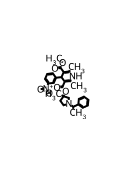 COC(=O)C1=C(C)NC(C)=C(C(=O)OC2(C)CCN(C(C)c3ccccc3)C2)C1c1cccc([N+](=O)[O-])c1